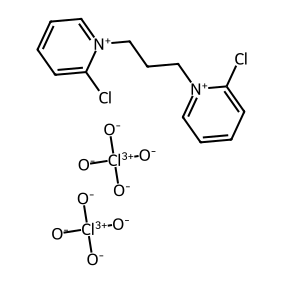 Clc1cccc[n+]1CCC[n+]1ccccc1Cl.[O-][Cl+3]([O-])([O-])[O-].[O-][Cl+3]([O-])([O-])[O-]